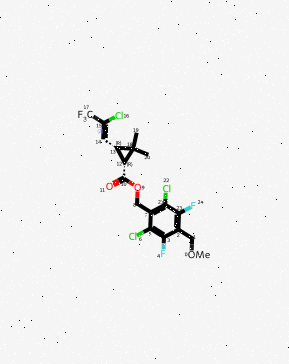 COCc1c(F)c(Cl)c(COC(=O)[C@@H]2[C@H](/C=C(\Cl)C(F)(F)F)C2(C)C)c(Cl)c1F